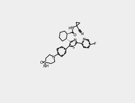 N#CC1(NC(=O)[C@@H]2CCCC[C@H]2c2nc(-c3ccc(F)cn3)sc2-c2ccc(N3CCS(=N)(=O)CC3)cc2)CC1